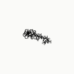 CC1(C)CC(NCCC(=O)NNC(=O)C2C(C(=O)O)C3(Cl)C(Cl)=C(Cl)C2(Cl)C3(Cl)Cl)CC(C)(C)N1